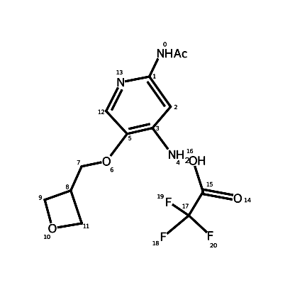 CC(=O)Nc1cc(N)c(OCC2COC2)cn1.O=C(O)C(F)(F)F